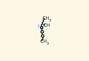 C#CC(CCCCC)Cc1c(F)cc(C2CCC(C3CCC(CCC)CC3)CC2)cc1F